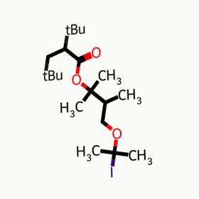 CC(COC(C)(C)I)C(C)(C)OC(=O)C(CC(C)(C)C)C(C)(C)C